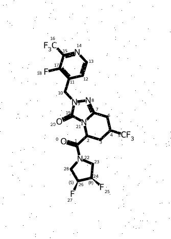 O=C(C1CC(C(F)(F)F)Cc2nn(Cc3ccnc(C(F)(F)F)c3F)c(=O)n21)N1C[C@@H](F)[C@@H](F)C1